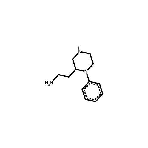 NCCC1CNCCN1c1ccccc1